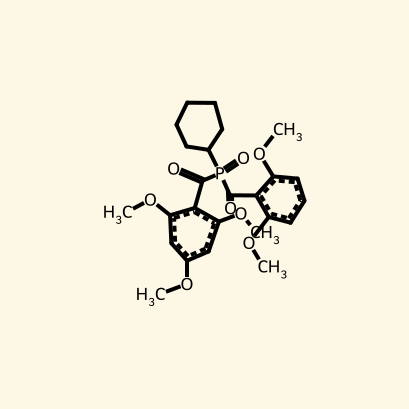 COc1cc(OC)c(C(=O)P(=O)(C(=O)c2c(OC)cccc2OC)C2CCCCC2)c(OC)c1